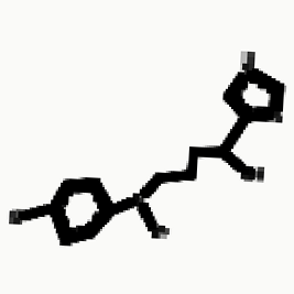 CC(C)N(CCCC(O)c1c[nH]cn1)c1ccc(Cl)cc1